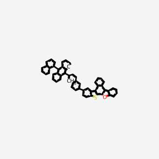 C=C(/C=C\c1cccc(-c2ccc3sc4c5oc6ccccc6c5c5ccccc5c4c3c2)c1)c1c2ccccc2c(-c2cccc3ccccc23)c2ccccc12